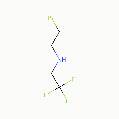 FC(F)(F)CNCCS